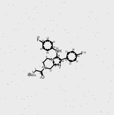 CC[C@H](C)CC(=O)N1CCn2c(nc(-c3ccc(F)cc3)c2Nc2ccc(F)cc2)C1